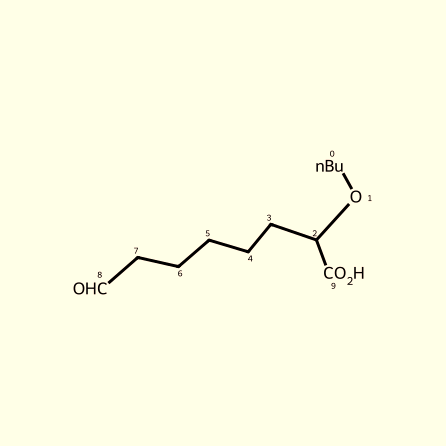 CCCCOC(CCCCCC=O)C(=O)O